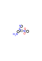 Nc1ccc2c(c1)c1c(n2Cc2ccccn2)CC(N2C(=O)c3ccccc3C2=O)C1